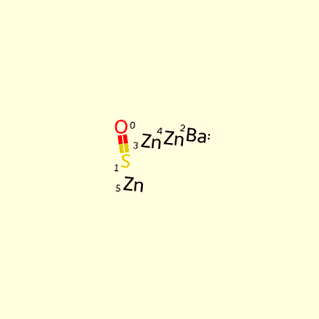 O=S.[Ba].[Zn].[Zn].[Zn]